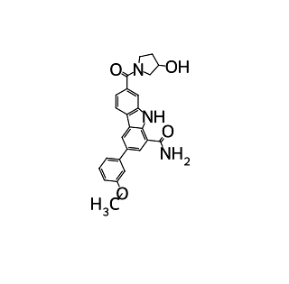 COc1cccc(-c2cc(C(N)=O)c3[nH]c4cc(C(=O)N5CCC(O)C5)ccc4c3c2)c1